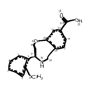 Cc1ccccc1[C@H]1COc2cc(C(=O)O)ccc2CN1